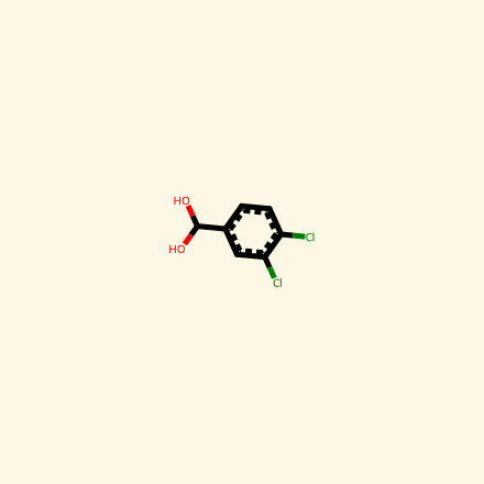 OC(O)c1ccc(Cl)c(Cl)c1